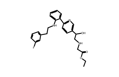 CCOC(=O)CNCC(O)c1ccc(-c2ccccc2NCCc2cccc(F)c2)nc1